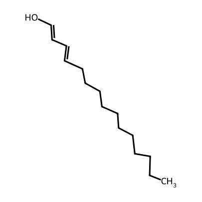 CCCCCCCCCCCC=CC=CO